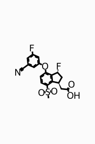 CS(=O)(=O)c1ccc(Oc2cc(F)cc(C#N)c2)c2c1[C@H](CC(=O)O)C[C@H]2F